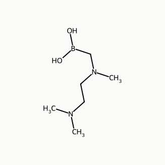 CN(C)CCN(C)CB(O)O